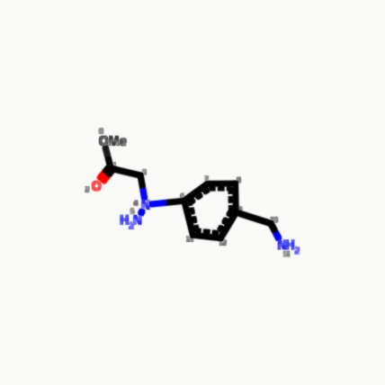 COC(=O)CN(N)c1ccc(CN)cc1